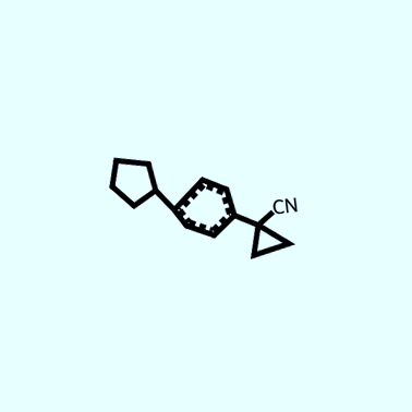 N#CC1(c2ccc(C3CCCC3)cc2)CC1